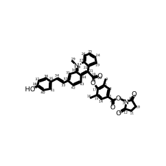 Cc1cc(C(=O)ON2C(=O)CCC2=O)cc(C)c1OC(=O)c1c2ccccc2[n+](C)c2cc(C=Cc3ccc(O)cc3)ccc12